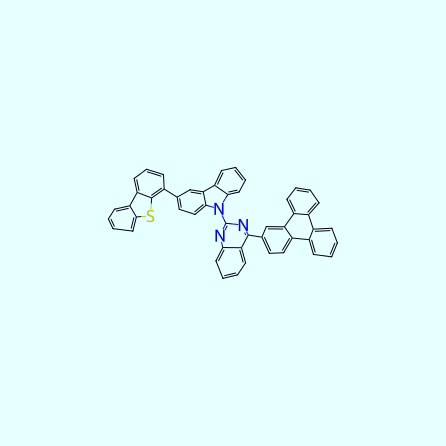 c1ccc2c(-c3ccc4c5ccccc5c5ccccc5c4c3)nc(-n3c4ccccc4c4cc(-c5cccc6c5sc5ccccc56)ccc43)nc2c1